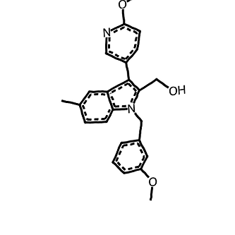 COc1cccc(Cn2c(CO)c(-c3ccc(OC)nc3)c3cc(C)ccc32)c1